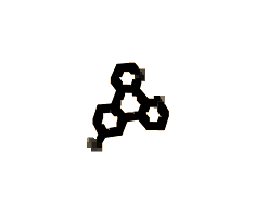 [2H]c1ccc2c(c1)c1cccnc1c1ncccc21